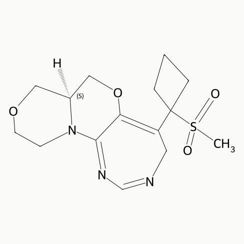 CS(=O)(=O)C1(C2=C3OC[C@@H]4COCCN4C3=NC=NC2)CCC1